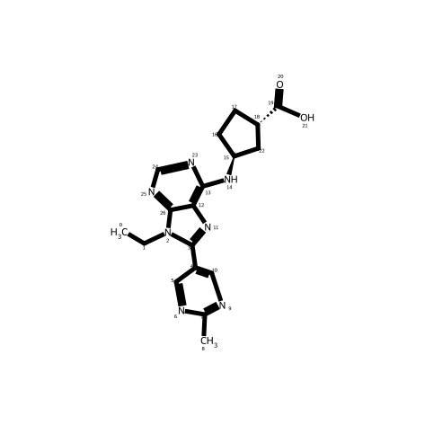 CCn1c(-c2cnc(C)nc2)nc2c(N[C@H]3CC[C@H](C(=O)O)C3)ncnc21